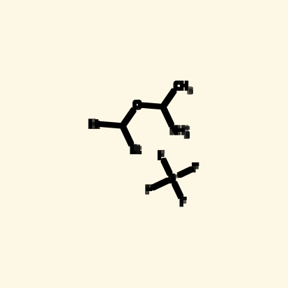 CCC(CC)OC(C)[NH3+].F[B-](F)(F)F